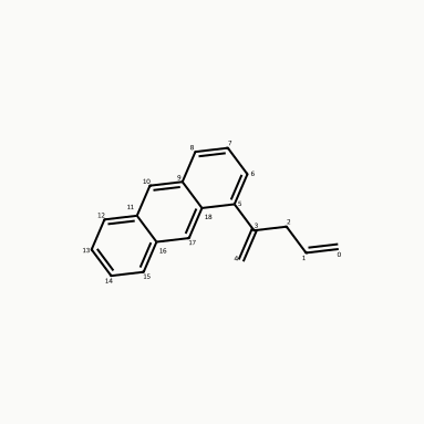 C=CCC(=C)c1cccc2cc3ccccc3cc12